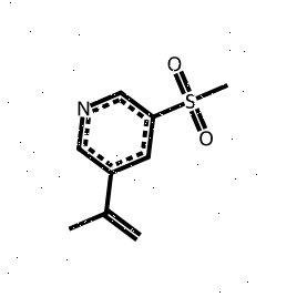 C=C(C)c1cncc(S(C)(=O)=O)c1